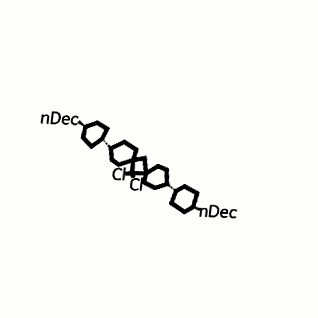 CCCCCCCCCC[C@H]1CC[C@H](C2CCC3(CC2)CC2(CCC([C@H]4CC[C@H](CCCCCCCCCC)CC4)CC2)C3(Cl)Cl)CC1